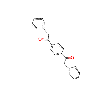 O=C(Cc1ccccc1)c1ccc(C(=O)Cc2ccccc2)cc1